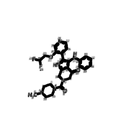 CN1CCN(C(=O)N2CC(=O)c3c([nH]c(-c4ccncc4OCC(F)F)c3Nc3ccccc3)C2)CC1